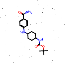 CC(C)(C)OC(=O)NC1CCC(Nc2ccc(C(N)=O)cc2)CC1